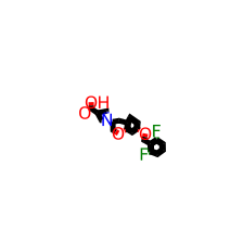 O=C(O)C1CN(C2COc3cc(OCc4c(F)cccc4F)ccc3C2)C1